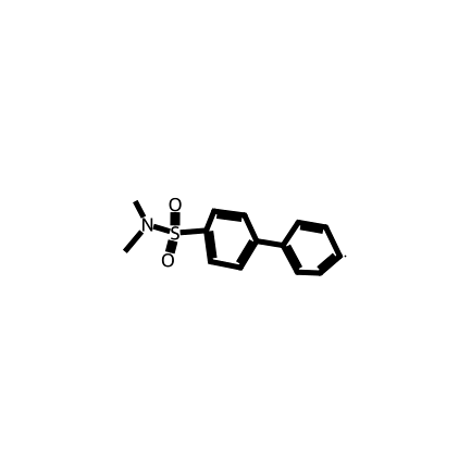 CN(C)S(=O)(=O)c1ccc(-c2cc[c]cc2)cc1